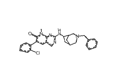 Cn1c(=O)c(-c2ccccc2Cl)cc2cnc(NC3CC4CC3CN(Cc3ccccc3)C4)nc21